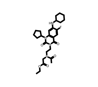 CCOC(=O)CN(CCn1c(=O)c2cc(F)c(NC3CCCCC3)cc2n(C2CCCC2)c1=O)C(C)=O